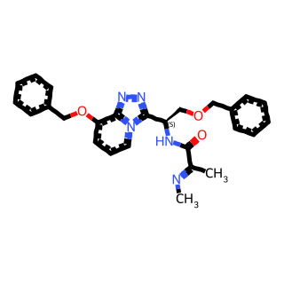 CN=C(C)C(=O)N[C@H](COCc1ccccc1)c1nnc2c(OCc3ccccc3)cccn12